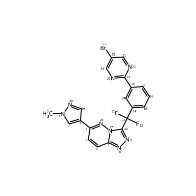 Cn1cc(-c2ccc3nnc(C(F)(F)c4cccc(-c5ncc(Br)cn5)c4)n3n2)cn1